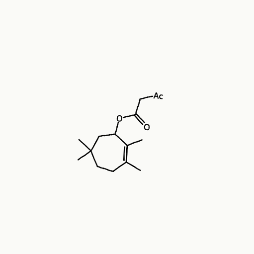 CC(=O)CC(=O)OC1CC(C)(C)CCC(C)=C1C